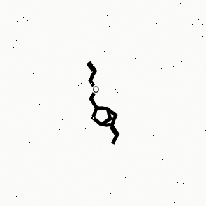 C=CCOCC1CC2CC1CC2=CC